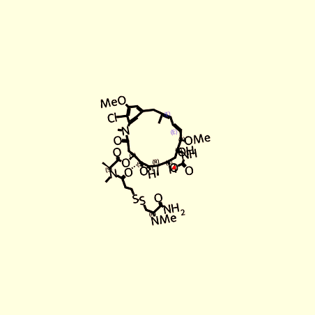 CN[C@@H](CSSCCC(=O)N(C)[C@@H](C)C(=O)O[C@H]1CC(=O)N(C)c2cc(cc(OC)c2Cl)C/C(C)=C/C=C/[C@@H](OC)[C@@]2(O)C[C@H](OC(=O)N2)[C@@H](C)[C@@H]2O[C@@]12C)C(N)=O